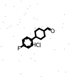 Cl.O=CC1CCC(c2ccc(F)cc2)CC1